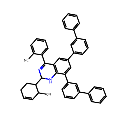 N#Cc1ccccc1C1=NC(C2CCC=CC2C#N)Nc2c1cc(-c1cccc(-c3ccccc3)c1)cc2-c1cccc(-c2ccccc2)c1